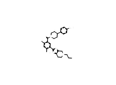 CCCN1CCc2[nH]c(-c3cc(C(=O)N4CCC(c5ccc(N)cc5)CC4)c(C)cc3C)nc2C1